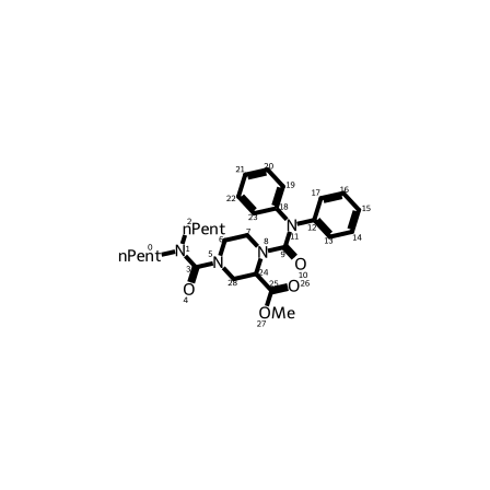 CCCCCN(CCCCC)C(=O)N1CCN(C(=O)N(c2ccccc2)c2ccccc2)C(C(=O)OC)C1